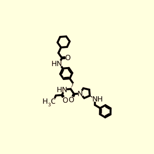 CCC(=O)N[C@H](Cc1ccc(NC(=O)CC2CCCCC2)cc1)C(=O)N1CC[C@H](NCc2ccccc2)C1